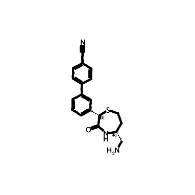 N#Cc1ccc(-c2cccc([C@@H]3SCC[C@H](CN)NC3=O)c2)cc1